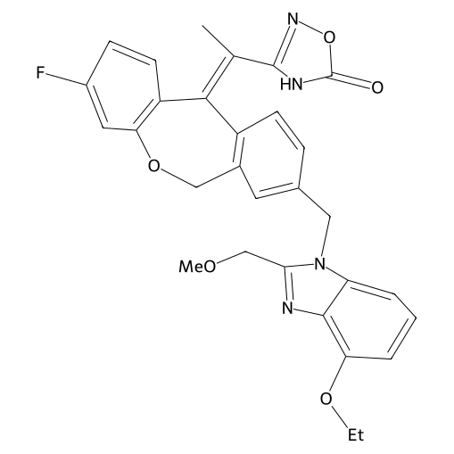 CCOc1cccc2c1nc(COC)n2Cc1ccc2c(c1)COc1cc(F)ccc1/C2=C(\C)c1noc(=O)[nH]1